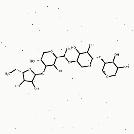 CC[C@@H]1O[C@@H](OC2C(O)[C@H](C(C)O[C@@H]3CO[C@@H](O[C@@H]4COCC(O)C4O)C(O)C3O)OC[C@H]2O)C(O)C1O